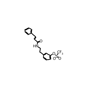 O=C(C=Cc1ccccc1)NCCc1cccc(OS(=O)(=O)C(F)(F)F)c1